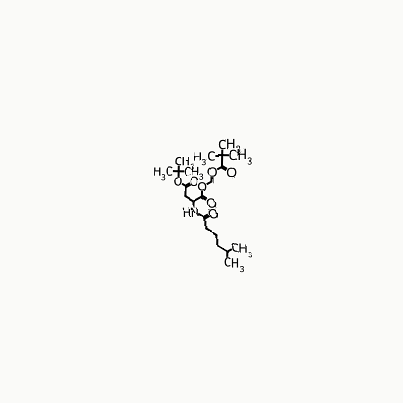 CC(C)CCCC(=O)NC(CC(=O)OC(C)(C)C)C(=O)OCOC(=O)C(C)(C)C